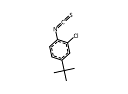 CC(C)(C)c1ccc(N=C=S)c(Cl)c1